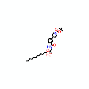 CCCCCCCCCCCCO[C@H](CO)CNC(=O)c1cccc(C2CCN(C(=O)OC(C)(C)C)CC2)c1